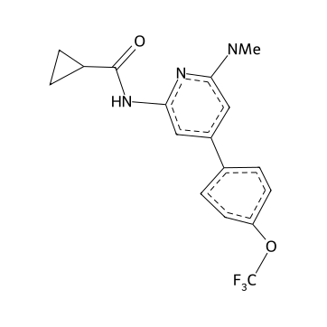 CNc1cc(-c2ccc(OC(F)(F)F)cc2)cc(NC(=O)C2CC2)n1